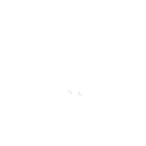 Cc1ccc2c(c1)CCC2=Cc1cncnc1